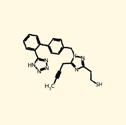 CC#CCc1nc(CCS)nn1Cc1ccc(-c2ccccc2-c2nnn[nH]2)cc1